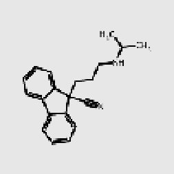 CC(C)NCCCC1(C#N)c2ccccc2-c2ccccc21